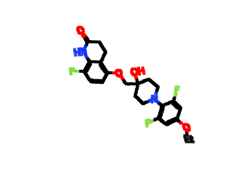 CCOc1cc(F)c(N2CCC(O)(COc3ccc(F)c4c3CCC(=O)N4)CC2)c(F)c1